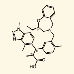 CC[C@@H]1CN(Cc2cc([C@H](c3ccc4c(nnn4C)c3C)[C@H](C)C(=O)O)ccc2C)Cc2ccccc2O1